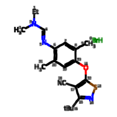 Br.CCN(C)C=Nc1cc(C)c(Oc2snc(C(C)(C)C)c2C#N)cc1C